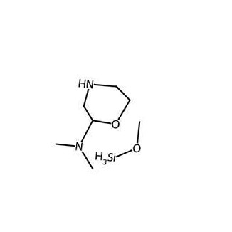 CN(C)C1CNCCO1.CO[SiH3]